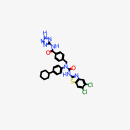 O=C(Nc1nn[nH]n1)c1ccc(CN(C(=O)Nc2nc3cc(Cl)c(Cl)cc3s2)c2ccc(C3CCCCC3)cc2)cc1